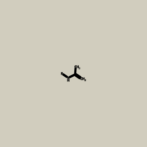 C=C(C)NF